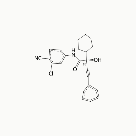 N#Cc1ccc(NC(=O)[C@@](O)(C#Cc2ccccc2)C2CCCCC2)cc1Cl